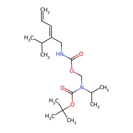 C=C/C=C(/CNC(=O)OCN(C(=O)OC(C)(C)C)C(C)C)C(C)C